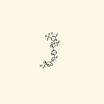 CS(=O)(=O)CC(=O)N1CC(F)(c2ccc(C3=NOC(c4cc(F)c(F)c(C(F)(F)F)c4)(C(F)(F)F)C3)cn2)C1